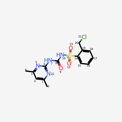 Cc1cc(C)nc(NC(=O)NS(=O)(=O)c2ccccc2CCl)n1